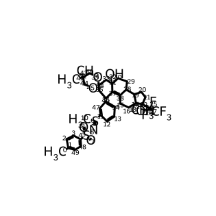 Cc1ccc(S(=O)(=O)N=S(C)c2ccc([C@H]3C[C@@]4(C)C(CC[C@@]4(O)C(F)(F)C(F)(F)F)C4CC[C@@]5(O)CC6(CCC5=C43)OCC(C)(C)CO6)cc2)cc1